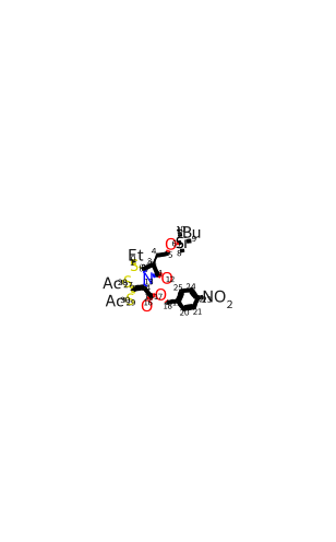 CCS[C@@H]1[C@@H](CCO[Si](C)(C)C(C)(C)C)C(=O)N1C(C(=O)OCc1ccc([N+](=O)[O-])cc1)=C(SC(C)=O)SC(C)=O